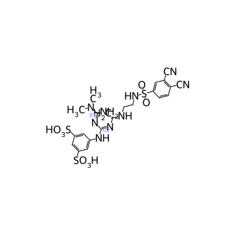 C=C(/N=C(\N=C(/N)N(C)C)Nc1cc(S(=O)(=O)O)cc(S(=O)(=O)O)c1)NCCNS(=O)(=O)c1ccc(C#N)c(C#N)c1